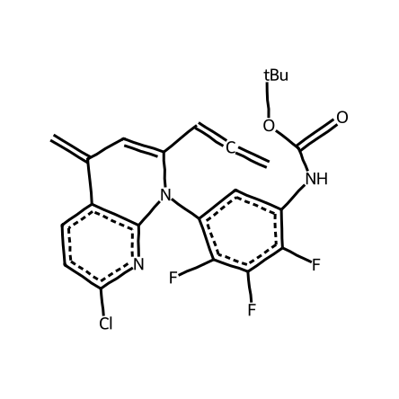 C=C=CC1=CC(=C)c2ccc(Cl)nc2N1c1cc(NC(=O)OC(C)(C)C)c(F)c(F)c1F